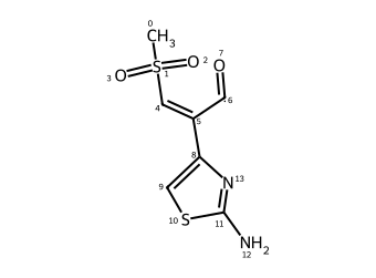 CS(=O)(=O)C=C([C]=O)c1csc(N)n1